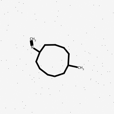 C=NC1CCCCCC(C)CCCC1